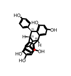 Oc1ccc(C2[C@@H]3c4cc(O)cc(O)c4[C@H](c4ccc(O)cc4)[C@H]2c2cc(O)cc(O)c23)cc1